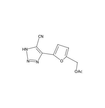 CC(=O)OCc1ccc(-c2nn[nH]c2C#N)o1